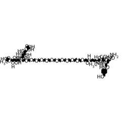 CN[C@@H](CCCCNC(=O)CCOCCOCCOCCOCCOCCOCCOCCOCCOCCOCCOCCOCCN(C[C@H](O)[C@@H](O)[C@H](O)[C@H](O)COP(C)(=O)O)C[C@H](O)[C@@H](O)[C@H](O)[C@H](O)COP(=O)(O)O)C(=O)N[C@H](C(=O)N[C@@H](CCCNC(N)=O)C(=O)Nc1ccc(CO)cc1)C(C)C